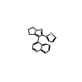 c1coc(-c2nn3c(c2-c2ccnc4ccccc24)CCC3)c1